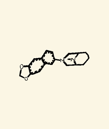 CN1C2CCCC1CN(c1ccc3cc4c(cc3c1)OCO4)C2